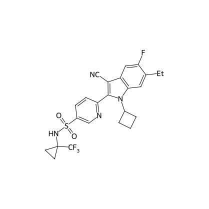 CCc1cc2c(cc1F)c(C#N)c(-c1ccc(S(=O)(=O)NC3(C(F)(F)F)CC3)cn1)n2C1CCC1